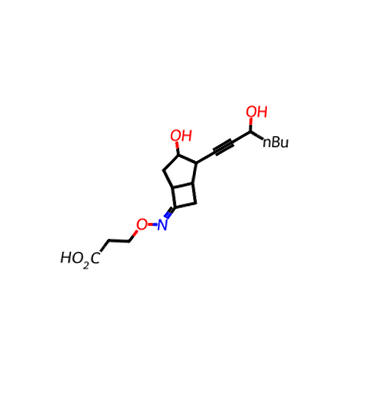 CCCCC(O)C#CC1C(O)CC2C(=NOCCC(=O)O)CC21